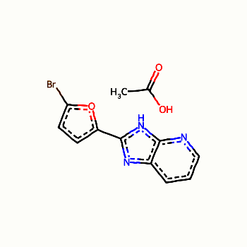 Brc1ccc(-c2nc3cccnc3[nH]2)o1.CC(=O)O